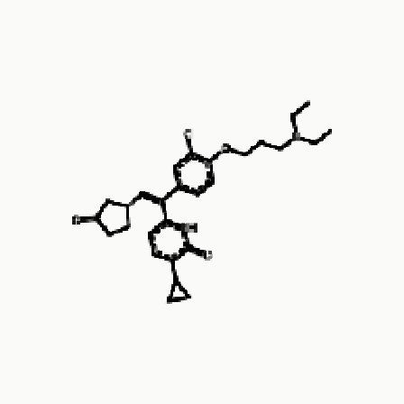 CCN(CC)CCCOc1ccc(C(=C[C@H]2CCC(=O)C2)c2ccc(C3CC3)c(=O)[nH]2)cc1Cl